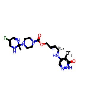 C[C@@H](/C=C/COC(=O)N1CCN(C2(C)N=CC(F)=CN2)CC1)Nc1cn[nH]c(=O)c1C(F)(F)F